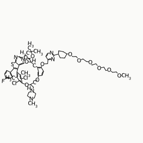 COCCOCCOCCOCCOCCOC1CCC(c2nccc(COc3ccc4cc3C[C@H](C(=O)OC(C)(C)C)Oc3ncnc5sc(-c6ccc(F)cc6)c(c35)-c3c(C)c(Cl)c(c(Cl)c3C)O[C@H](CN3CCN(C)CC3)CO4)n2)CC1